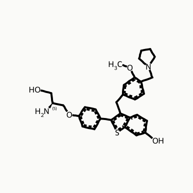 COc1cc(Cc2c(-c3ccc(OC[C@@H](N)CO)cc3)sc3cc(O)ccc23)ccc1CN1CCCC1